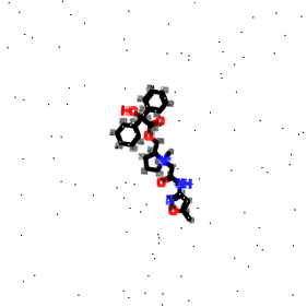 Cc1cc(NC(=O)C[N+]2(C)CCCC2COC(=O)C(O)(c2ccccc2)C2CCCCC2)no1